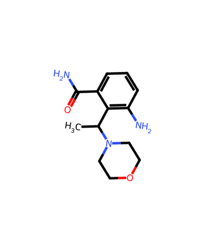 CC(c1c(N)cccc1C(N)=O)N1CCOCC1